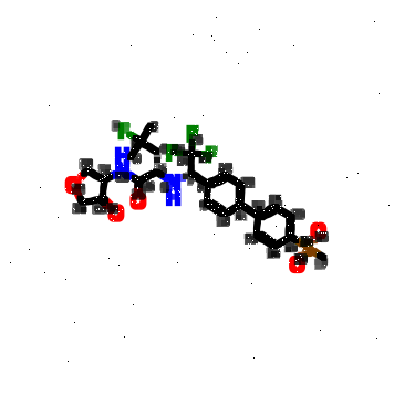 CC(C)(F)C[C@H](N[C@@H](c1ccc(-c2ccc(S(C)(=O)=O)cc2)cc1)C(F)(F)F)C(=O)NC1COCC1=O